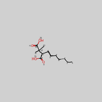 CCCCCCCC(C(=O)O)C(C)(C)C(=O)O